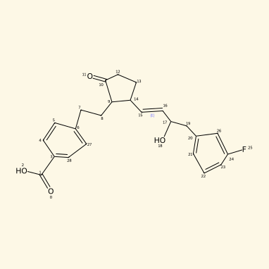 O=C(O)c1ccc(CCC2C(=O)CCC2/C=C/C(O)Cc2cccc(F)c2)cc1